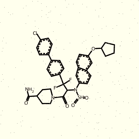 NC(=O)C1CCN(C(=O)C(N(c2ccc3cc(OC4CCCC4)ccc3c2)[SH](=O)=O)C(F)(F)c2ccc(-c3ccc(Cl)cc3)cc2)CC1